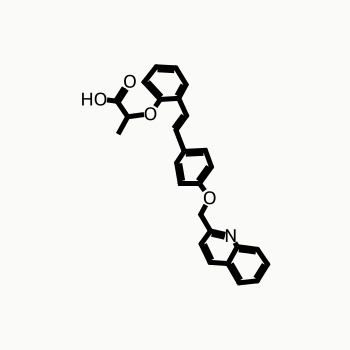 CC(Oc1ccccc1C=Cc1ccc(OCc2ccc3ccccc3n2)cc1)C(=O)O